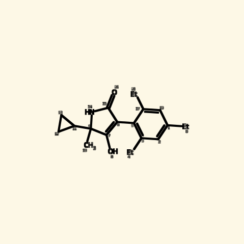 CCc1cc(CC)c(C2=C(O)C(C)(C3CC3)NC2=O)c(CC)c1